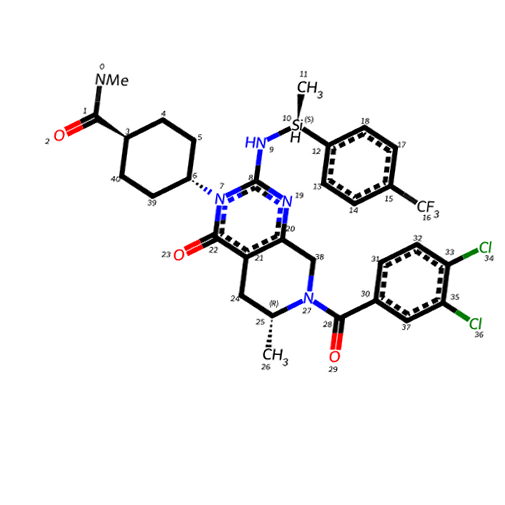 CNC(=O)[C@H]1CC[C@H](n2c(N[Si@@H](C)c3ccc(C(F)(F)F)cc3)nc3c(c2=O)C[C@@H](C)N(C(=O)c2ccc(Cl)c(Cl)c2)C3)CC1